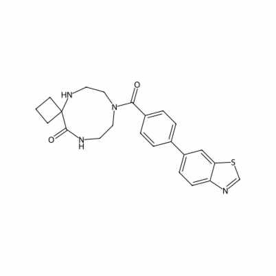 O=C(c1ccc(-c2ccc3ncsc3c2)cc1)N1CCNC(=O)C2(CCC2)NCC1